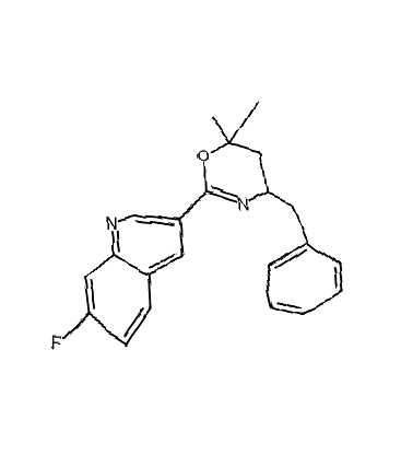 CC1(C)CC(Cc2ccccc2)N=C(c2cnc3cc(F)ccc3c2)O1